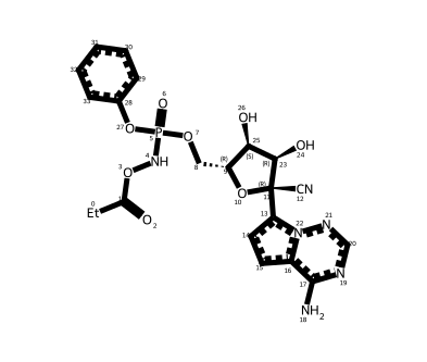 CCC(=O)ONP(=O)(OC[C@H]1O[C@@](C#N)(c2ccc3c(N)ncnn23)[C@H](O)[C@@H]1O)Oc1ccccc1